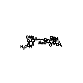 COc1cc2c(cc1OCCCCCOc1cc3c(cc1OC)C(=O)N1C=C(C)C[C@@]1(N)[C@H](O)N3C)N=C[C@@H]1CC(C)=CN1C2=O